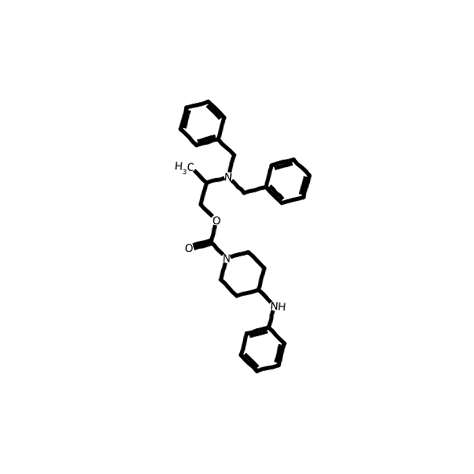 CC(COC(=O)N1CCC(Nc2ccccc2)CC1)N(Cc1ccccc1)Cc1ccccc1